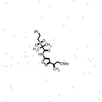 C=C(COC)c1cc(NC(=O)C(C)(C)S(=O)(=O)CCC(C)C)on1